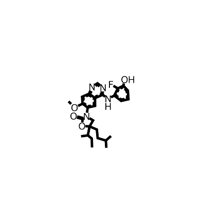 CCC(C)C1(CCC(C)C)CN(c2cc3c(Nc4cccc(O)c4F)ncnc3cc2OC)C(=O)O1